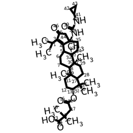 CC(C)C1=C2C3CCC4[C@@]5(C)CC[C@H](OC(=O)CC(C)(C)C(=O)O)C(C)(C)C5CC[C@@]4(C)[C@]3(C)CC[C@@]2(NC(=O)NC2CC2)CC1=O